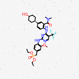 CCOP(=O)(Cc1ccc(Nc2ncc(C(F)(F)F)c(Nc3ccc([C@H]4CC[C@@H](O)CC4)cc3C(=O)N(C)C)n2)c(OC)c1)OCC